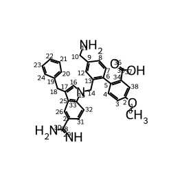 COc1ccc(-c2ccc(CN)cc2Cn2cc(Cc3ccccc3)c3cc(C(=N)N)ccc32)c(C(=O)O)c1